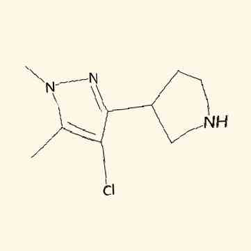 Cc1c(Cl)c(C2CCNC2)nn1C